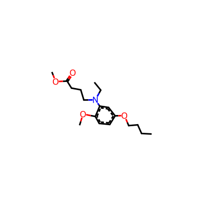 CCCCOc1ccc(OC)c(N(CC)CCCC(=O)OC)c1